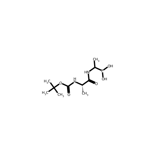 CC(NC(=O)[C@H](C)NC(=O)OC(C)(C)C)P(O)O